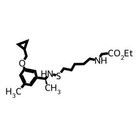 CCOC(=O)CNCCCCCSN[C@@H](C)c1cc(C)cc(OCC2CC2)c1